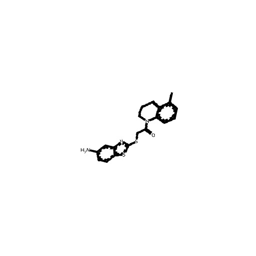 Cc1cccc2c1CCCN2C(=O)CSc1nc2cc(N)ccc2s1